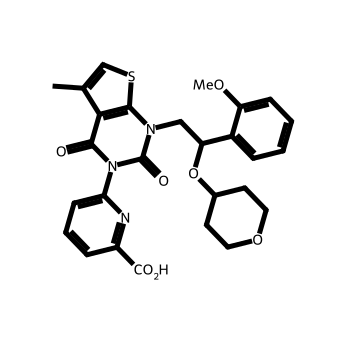 COc1ccccc1C(Cn1c(=O)n(-c2cccc(C(=O)O)n2)c(=O)c2c(C)csc21)OC1CCOCC1